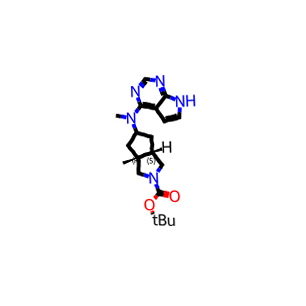 CN(c1ncnc2[nH]ccc12)C1C[C@@H]2CN(C(=O)OC(C)(C)C)C[C@]2(C)C1